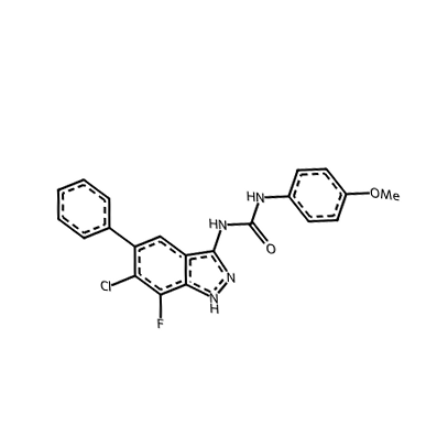 COc1ccc(NC(=O)Nc2n[nH]c3c(F)c(Cl)c(-c4ccccc4)cc23)cc1